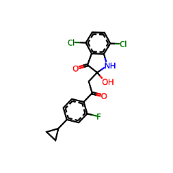 O=C(CC1(O)Nc2c(Cl)ccc(Cl)c2C1=O)c1ccc(C2CC2)cc1F